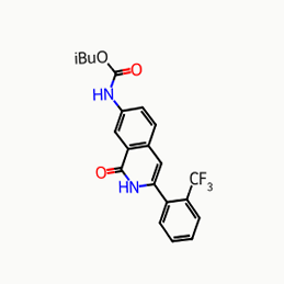 CC(C)COC(=O)Nc1ccc2cc(-c3ccccc3C(F)(F)F)[nH]c(=O)c2c1